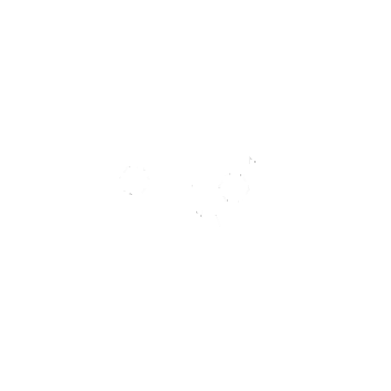 Nc1ccc(C(=O)N2CCC(Cc3ccccc3)CC2)c(Cl)c1